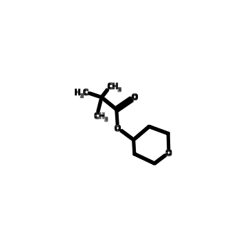 CC(C)(C)C(=O)OC1CCOCC1